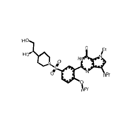 CCCOc1ccc(S(=O)(=O)N2CCC([C@@H](O)CO)CC2)cc1-c1nc2c(CCC)cn(CC)c2c(=O)[nH]1